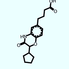 O=C(O)CCCc1ccc2c(c1)NC(=O)C(C1CCCC1)O2